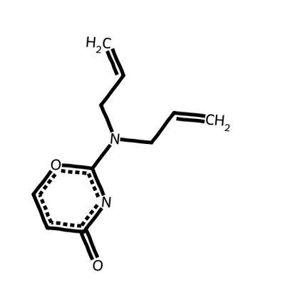 C=CCN(CC=C)c1nc(=O)cco1